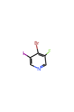 Fc1cncc(I)c1Br